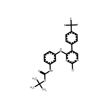 CC(C)(C)OC(=O)Nc1cccc(Nc2nc(Cl)ncc2-c2ccc(C(F)(F)F)cc2)c1